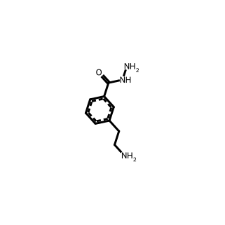 NCCc1cccc(C(=O)NN)c1